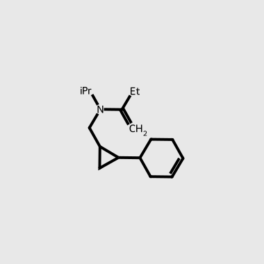 C=C(CC)N(CC1CC1C1CC=CCC1)C(C)C